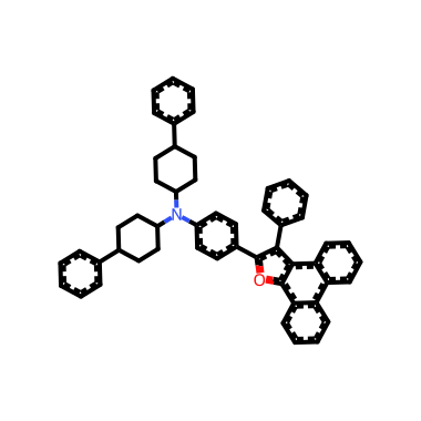 c1ccc(-c2c(-c3ccc(N(C4CCC(c5ccccc5)CC4)C4CCC(c5ccccc5)CC4)cc3)oc3c4ccccc4c4ccccc4c23)cc1